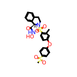 Cc1cc(Oc2ccc(S(C)(=O)=O)cc2)ccc1S(=O)(=O)N1CCc2ccccc2[C@@H]1C(=O)NO